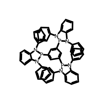 c1ccc(N2c3ccccc3N(c3ccccc3)P2c2cc(P3N(c4ccccc4)c4ccccc4N3c3ccccc3)cc(P3N(c4ccccc4)c4ccccc4N3c3ccccc3)c2)cc1